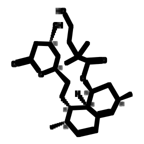 C[C@H]1C=C2C=C[C@H](C)[C@H](CC[C@@H]3C[C@@H](O)CC(=O)O3)[C@H]2[C@@H](OC(=O)C(C)(C)CCO)C1